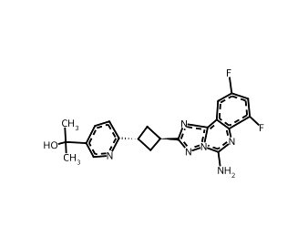 CC(C)(O)c1ccc([C@H]2C[C@H](c3nc4c5cc(F)cc(F)c5nc(N)n4n3)C2)nc1